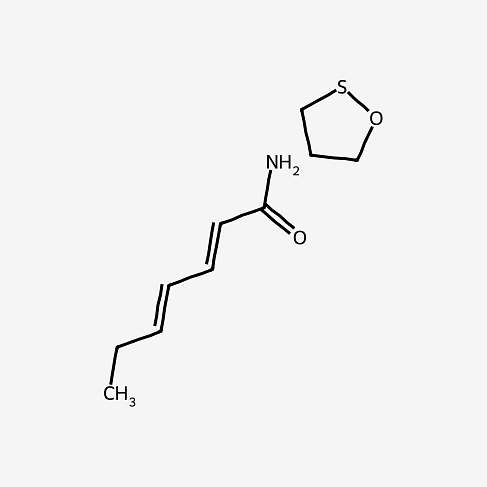 C1COSC1.CCC=CC=CC(N)=O